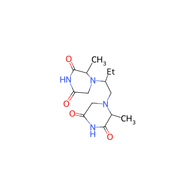 CCC(CN1CC(=O)NC(=O)C1C)N1CC(=O)NC(=O)C1C